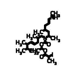 CN/C=C/CC(C)CC(C)N(CC(C)C/C=C/C(C)C(C)C)C(=O)OC(C)OC(=O)C(C)I